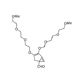 COCCOCCOCCOC1=C(OCOCCOCCOC)C2=CC2(C=O)C1